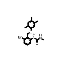 CNC(=O)Nc1cccc(Br)c1COc1cc(C)c(C)cc1C